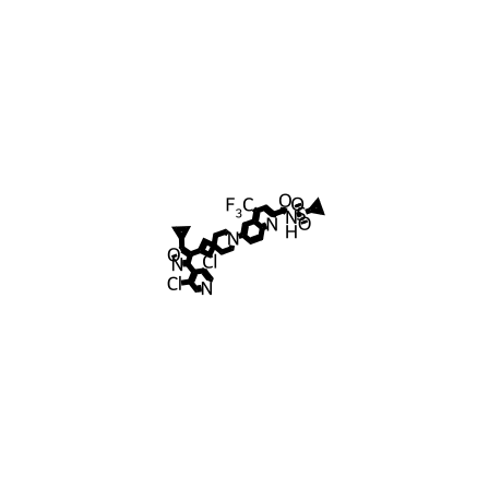 O=C(NS(=O)(=O)C1CC1)c1cc(C(F)(F)F)c2cc(N3CCC4(C=C(c5c(-c6c(Cl)cncc6Cl)noc5C5CC5)C4)CC3)ccc2n1